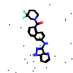 O=C(c1cccc2cc(Nc3n[nH]c4cccnc34)ccc12)N1CCCC(F)(F)C1